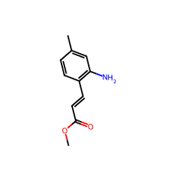 COC(=O)/C=C/c1ccc(C)cc1N